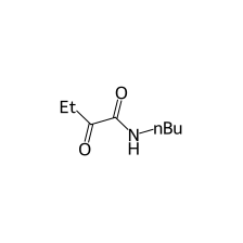 [CH2]CCCNC(=O)C(=O)CC